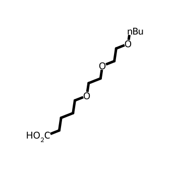 CCCCOCCOCCOCCCCC(=O)O